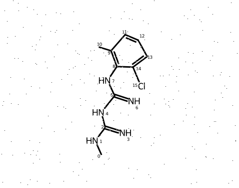 CNC(=N)NC(=N)Nc1c(C)cccc1Cl